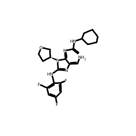 C=C(/N=C1\C(=C/N)N=C(Nc2c(F)cc(F)cc2F)N1[C@H]1CCOC1)NC1CCCCC1